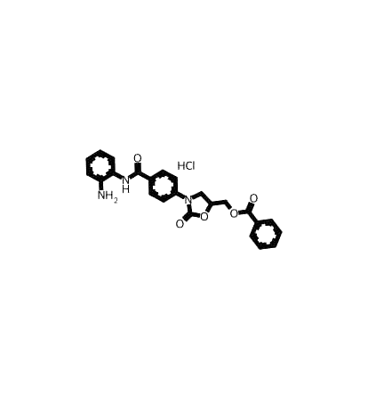 Cl.Nc1ccccc1NC(=O)c1ccc(N2CC(COC(=O)c3ccccc3)OC2=O)cc1